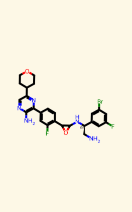 NC[C@@H](NC1OC1c1ccc(-c2nc(C3CCOCC3)cnc2N)cc1F)c1cc(F)cc(Br)c1